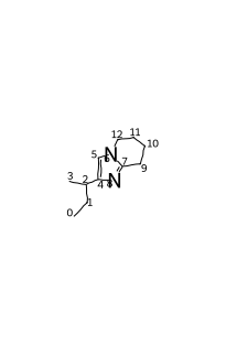 CCC(C)c1cn2c(n1)CCCC2